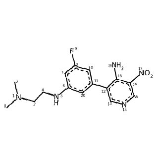 CN(C)CCNc1cc(F)cc(-c2cncc([N+](=O)[O-])c2N)c1